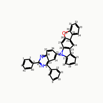 c1ccc(-c2nc(-c3ccccc3)c3cc(-n4c5ccccc5c5cc6c(cc54)oc4ccccc46)ccc3n2)cc1